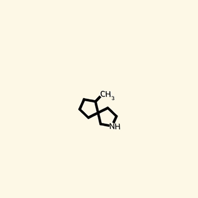 CC1CCCC12CCNC2